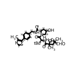 Cc1ncsc1-c1ccc(CNC(=O)[C@@H]2C[C@@H](O)CN2C(=O)[C@@H](NC(=O)C(C)(C)CC(C)(C)C=O)C(C)(C)C)cc1